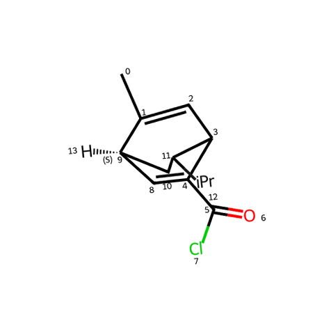 CC1=CC2C(C(=O)Cl)=C[C@@H]1CC2C(C)C